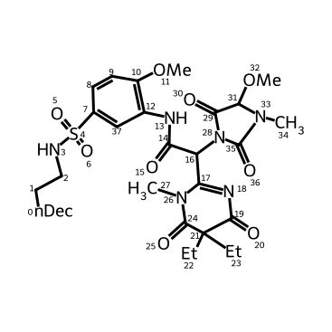 CCCCCCCCCCCCNS(=O)(=O)c1ccc(OC)c(NC(=O)C(C2=NC(=O)C(CC)(CC)C(=O)N2C)N2C(=O)C(OC)N(C)C2=O)c1